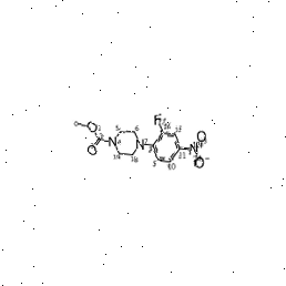 COC(=O)N1CCN(c2ccc([N+](=O)[O-])cc2F)CC1